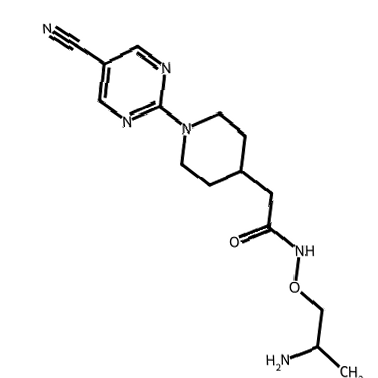 CC(N)CONC(=O)CC1CCN(c2ncc(C#N)cn2)CC1